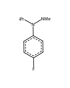 CNN(c1ccc(F)cc1)C(C)C